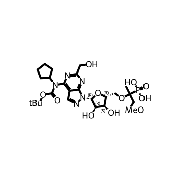 COCC(C)(OC[C@H]1O[C@@H](n2ncc3c(N(C(=O)OC(C)(C)C)C4CCCC4)nc(CO)nc32)[C@H](O)[C@@H]1O)P(=O)(O)O